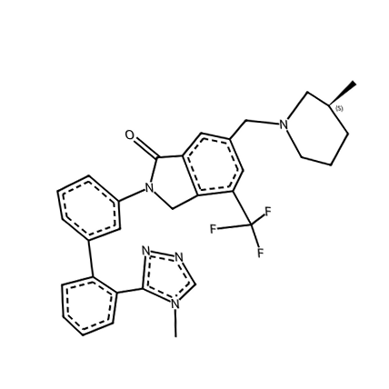 C[C@H]1CCCN(Cc2cc3c(c(C(F)(F)F)c2)CN(c2cccc(-c4ccccc4-c4nncn4C)c2)C3=O)C1